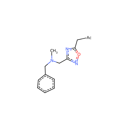 CC(=O)Cc1nc(CN(C)Cc2ccccc2)no1